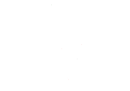 O=c1c(OCCCCl)c(-c2cccs2)oc2ccccc12